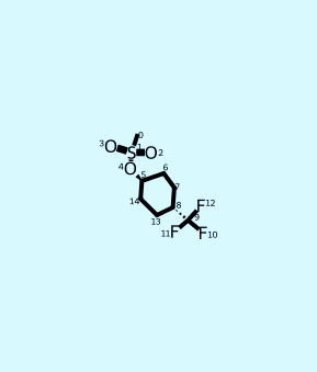 CS(=O)(=O)O[C@H]1CC[C@H](C(F)(F)F)CC1